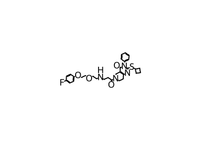 O=C(CCNCCOCCOc1ccc(F)cc1)N1CCc2nc(SC3CCC3)n(-c3ccccc3)c(=O)c2C1